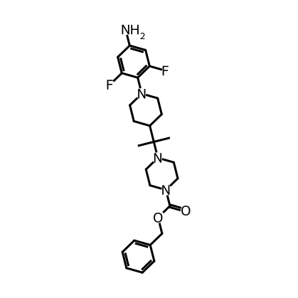 CC(C)(C1CCN(c2c(F)cc(N)cc2F)CC1)N1CCN(C(=O)OCc2ccccc2)CC1